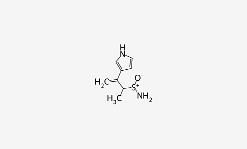 C=C(c1cc[nH]c1)C(C)[S+](N)[O-]